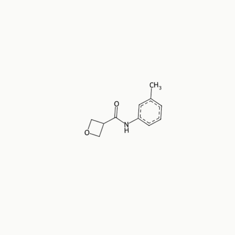 Cc1cccc(NC(=O)C2COC2)c1